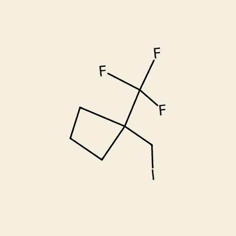 FC(F)(F)C1(CI)CCC1